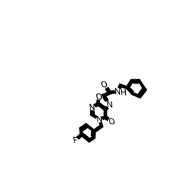 O=C(NCc1ccccc1)c1nc2c(=O)n(Cc3ccc(F)cc3)cnc2o1